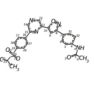 CC(=O)Nc1ccc(-c2cc(-c3[c]ncc(-c4ccc(S(=O)(=O)C(C)C)cc4)n3)on2)cc1